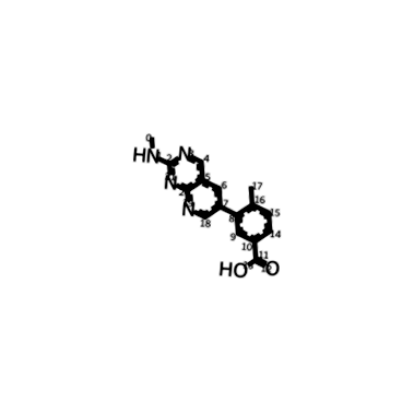 CNc1ncc2cc(-c3cc(C(=O)O)ccc3C)cnc2n1